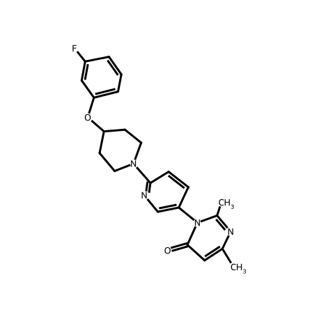 Cc1cc(=O)n(-c2ccc(N3CCC(Oc4cccc(F)c4)CC3)nc2)c(C)n1